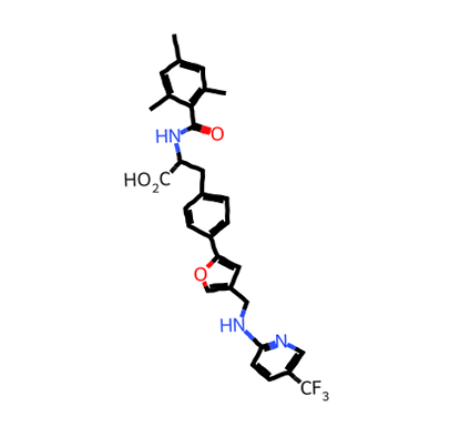 Cc1cc(C)c(C(=O)NC(Cc2ccc(-c3cc(CNc4ccc(C(F)(F)F)cn4)co3)cc2)C(=O)O)c(C)c1